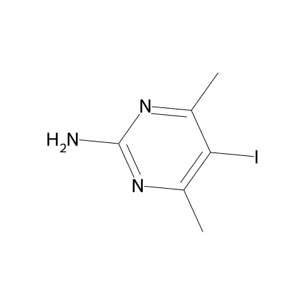 Cc1nc(N)nc(C)c1I